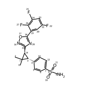 CC1(C)[C@@H](c2ccc(S(N)(=O)=O)cc2)[C@@H]1c1noc(-c2cc(F)cc(F)c2F)n1